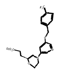 CCOC(=O)CC[C@H]1CN(c2cncc(OCc3ccc(C(F)(F)F)cc3)c2)CCO1